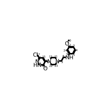 COc1cccc(NCCN2CCN(c3cc(Cl)n[nH]c3=O)CC2)c1